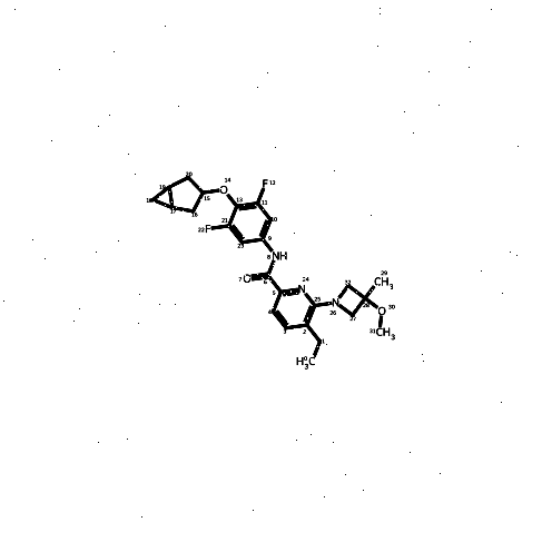 CCc1ccc(C(=O)Nc2cc(F)c(OC3CC4CC4C3)c(F)c2)nc1N1CC(C)(OC)C1